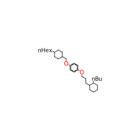 CCCCCCC1CCC(COc2ccc(OCCCC3CCCCC3CCCC)cc2)CC1